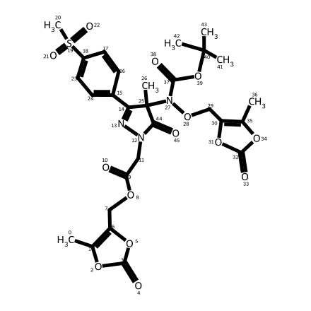 Cc1oc(=O)oc1COC(=O)CN1N=C(c2ccc(S(C)(=O)=O)cc2)C(C)(N(OCc2oc(=O)oc2C)C(=O)OC(C)(C)C)C1=O